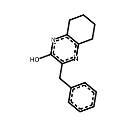 Oc1nc2c(nc1Cc1ccccc1)CCCC2